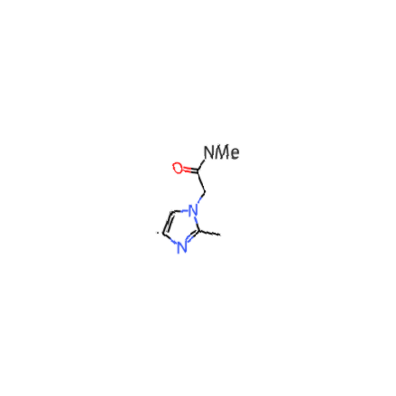 CNC(=O)Cn1c[c]nc1C